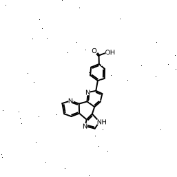 O=C(O)c1ccc(-c2ccc3c(n2)c2ncccc2c2nc[nH]c32)cc1